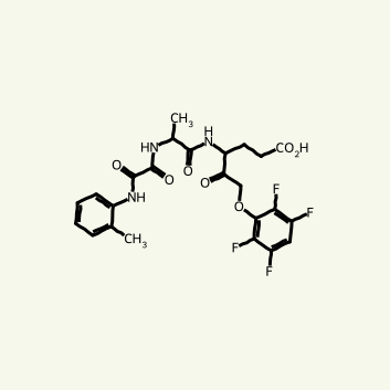 Cc1ccccc1NC(=O)C(=O)NC(C)C(=O)NC(CCC(=O)O)C(=O)COc1c(F)c(F)cc(F)c1F